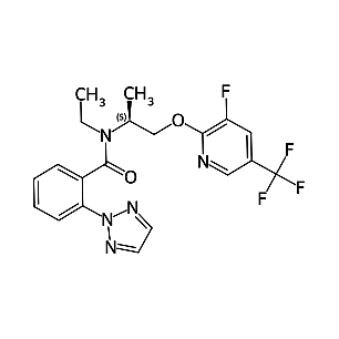 CCN(C(=O)c1ccccc1-n1nccn1)[C@@H](C)COc1ncc(C(F)(F)F)cc1F